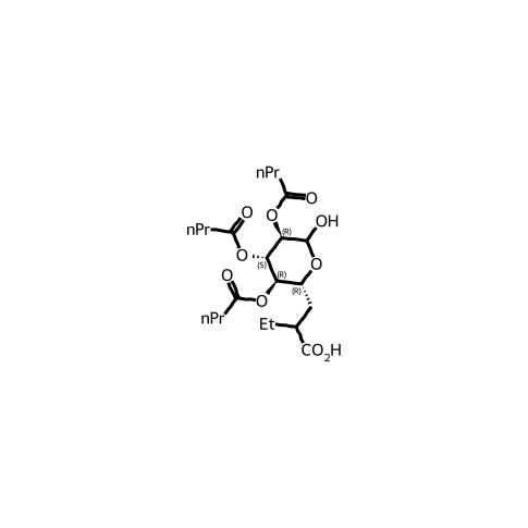 CCCC(=O)O[C@H]1[C@H](OC(=O)CCC)[C@@H](OC(=O)CCC)C(O)O[C@@H]1CC(CC)C(=O)O